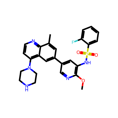 COc1ncc(-c2cc(C)c3nccc(N4CCNCC4)c3c2)cc1NS(=O)(=O)c1ccccc1F